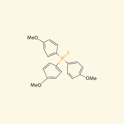 COc1ccc(P(=S)(c2ccc(OC)cc2)c2ccc(OC)cc2)cc1